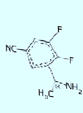 C[C@@H](N)c1cc(C#N)cc(F)c1F